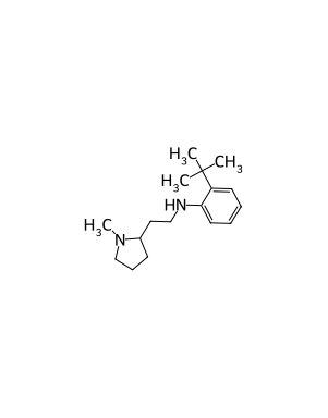 CN1CCCC1CCNc1ccccc1C(C)(C)C